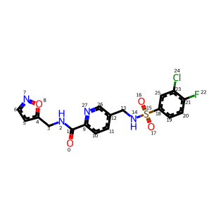 O=C(NCc1ccno1)c1ccc(CNS(=O)(=O)c2ccc(F)c(Cl)c2)cn1